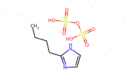 CCCCc1ncc[nH]1.O=S(=O)(O)OS(=O)(=O)O